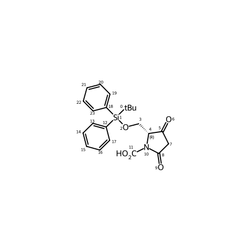 CC(C)(C)[Si](OC[C@@H]1C(=O)CC(=O)N1C(=O)O)(c1ccccc1)c1ccccc1